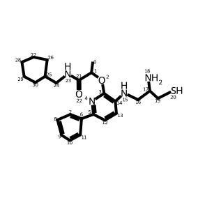 CC(Oc1nc(-c2ccccc2)ccc1NCC(N)CS)C(=O)NCC1CCCCC1